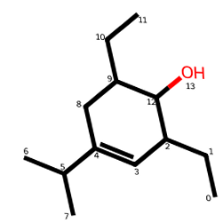 CCC1C=C(C(C)C)CC(CC)C1O